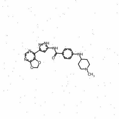 CN1CCC(Nc2ccc(C(=O)Nc3cc(-c4ncnc5c4OCO5)n[nH]3)cc2)CC1